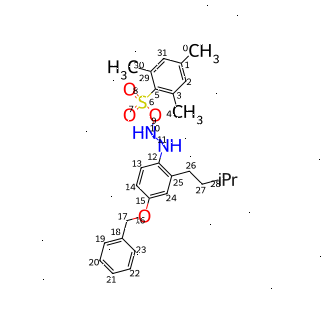 Cc1cc(C)c(S(=O)(=O)ONNc2ccc(OCc3ccccc3)cc2CCC(C)C)c(C)c1